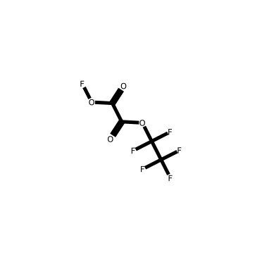 O=C(OF)C(=O)OC(F)(F)C(F)(F)F